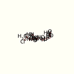 CC1(C)CCC(CN2CCN(c3ccc(C(=O)NS(=O)(=O)c4ccc(NCC5CCN(CCOCCSc6cccc7c6C(=O)N(C6CCC(=O)NC6=O)C7=O)CC5)c([N+](=O)[O-])c4)c(Oc4cnc5[nH]ccc5c4)c3)CC2)=C(c2ccc(Cl)cc2)C1